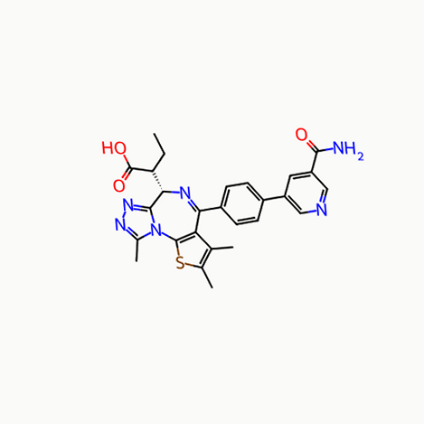 CCC(C(=O)O)[C@@H]1N=C(c2ccc(-c3cncc(C(N)=O)c3)cc2)c2c(sc(C)c2C)-n2c(C)nnc21